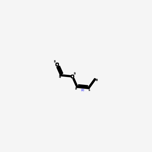 C/C=C\O[C]=O